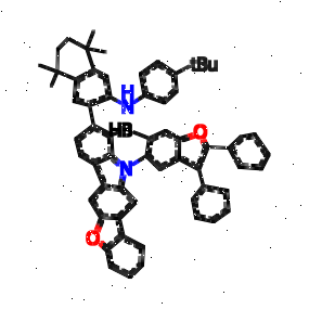 CC(C)(C)c1ccc(Nc2cc3c(cc2-c2ccc4c5cc6oc7ccccc7c6cc5n5c4c2Bc2cc4oc(-c6ccccc6)c(-c6ccccc6)c4cc2-5)C(C)(C)CCC3(C)C)cc1